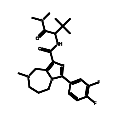 CN1CCCn2c(-c3ccc(F)c(F)c3)nc(C(=O)NC(C(=O)N(C)C)C(C)(C)C)c2C1